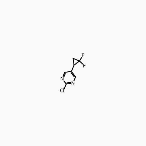 FC1(F)CC1c1cnc(Cl)nc1